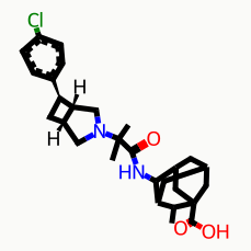 CC1C2CC3CC(CC1(C(=O)O)C3)C2NC(=O)C(C)(C)N1C[C@@H]2C[C@@H](c3ccc(Cl)cc3)[C@@H]2C1